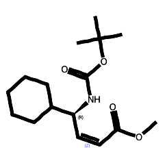 COC(=O)/C=C\[C@H](NC(=O)OC(C)(C)C)C1CCCCC1